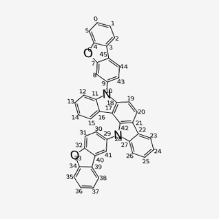 c1ccc2c(c1)oc1cc(-n3c4ccccc4c4c3ccc3c5ccccc5n(-c5ccc6oc7ccccc7c6c5)c34)ccc12